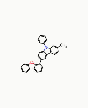 Cc1ccc2c3cc(-c4cccc5c4oc4ccccc45)ccc3n(-c3ccccc3)c2c1